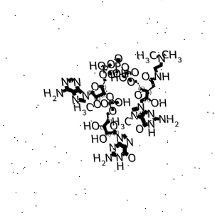 CO[C@@H]1[C@H](OP(=O)(O)OC[C@H]2O[C@@H](n3cnc4c(=O)[nH]c(N)nc43)[C@H](O)[C@@H]2O)[C@@H](COP(=O)(O)OP(=O)(O)OP(=O)(O)OC[C@H]2OC(n3c[n+](C)c4c(=O)[nH]c(N)nc43)[C@H](O)[C@@H]2CC(=O)NCCN(C)C)O[C@H]1n1cnc2c(N)ncnc21